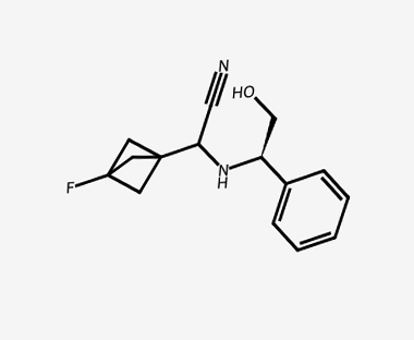 N#CC(N[C@@H](CO)c1ccccc1)C12CC(F)(C1)C2